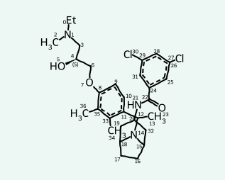 CCN(C)C[C@H](O)COc1ccc(C(C)N2C3CCC2CC(NC(=O)c2cc(Cl)cc(Cl)c2)C3)c(C)c1C